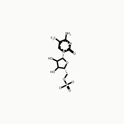 Nc1nc(=O)n([C@@H]2O[C@H](COP(=O)(Cl)Cl)C(O)C2O)cc1C(F)(F)F